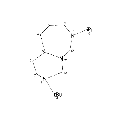 CC(C)N1CCCC2CCN(C(C)(C)C)CN2C1